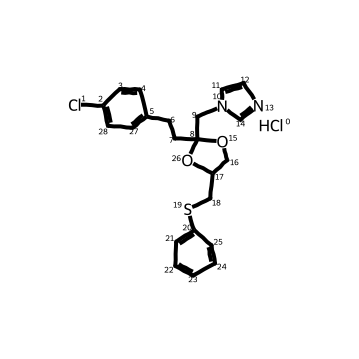 Cl.Clc1ccc(CCC2(Cn3ccnc3)OCC(CSc3ccccc3)O2)cc1